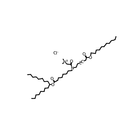 CCCCCCCCCCCOC(=O)CCCCCN(CCCCCCCC(=O)OC(CCCCCCCC)CCCCCCCC)C(=O)C[N+](C)(C)C.[Cl-]